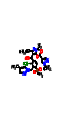 Cc1cnn(Cc2c(S(C)(=O)=O)ccc(C(=O)c3c(C)nn(C)c3OC(=O)c3cnn(C)c3)c2Cl)c1